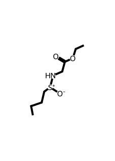 CCCC[S+]([O-])NCC(=O)OCC